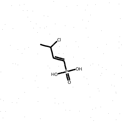 CC(Cl)C=CP(=O)(O)O